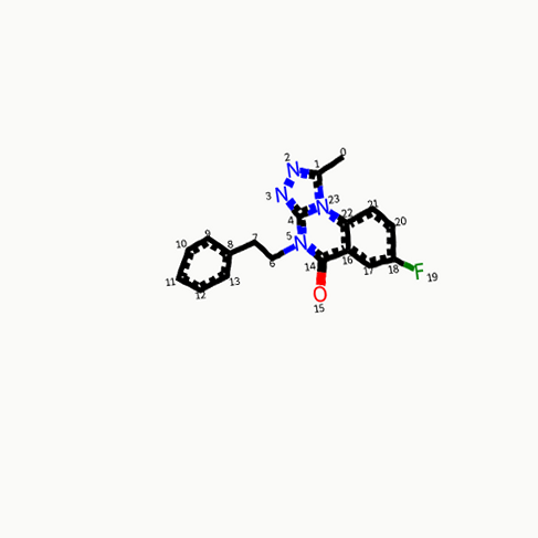 Cc1nnc2n(CCc3ccccc3)c(=O)c3cc(F)ccc3n12